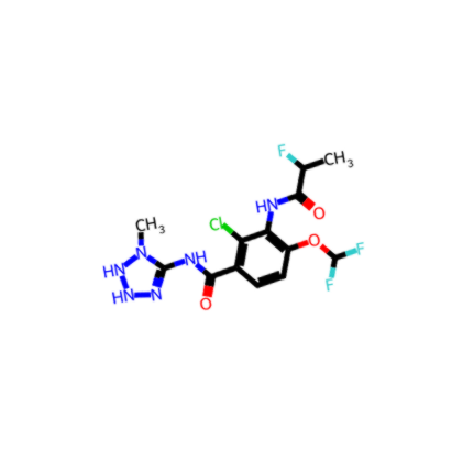 CC(F)C(=O)Nc1c(OC(F)F)ccc(C(=O)NC2=NNNN2C)c1Cl